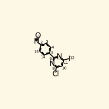 O=Nc1ccc(-c2nc(Cl)cc(I)n2)cc1